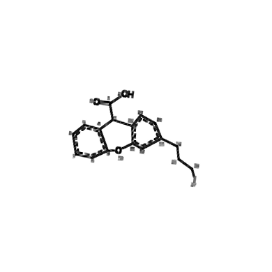 O=C(O)C1c2ccccc2Oc2cc(CCCI)ccc21